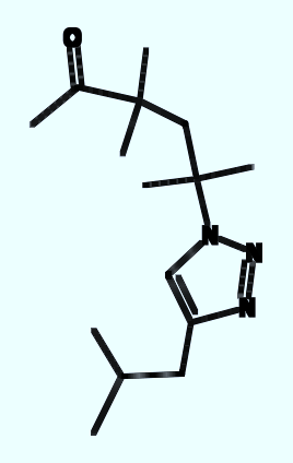 CC(=O)C(C)(C)CC(C)(C)n1cc(CC(C)C)nn1